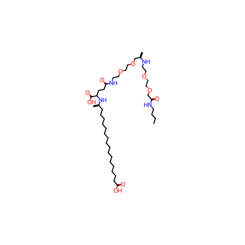 C=C(COCCOCCNC(=O)CCC(NC(=C)CCCCCCCCCCCCCCCCC(=O)O)C(=O)O)NCCOCCOCC(=O)NCCCC